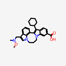 CON(C)Cc1cn2c3c(cccc13)-c1c(C3CCCCC3)c3ccc(C(=O)O)cc3n1CCC2